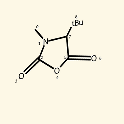 CN1C(=O)OC(=O)C1C(C)(C)C